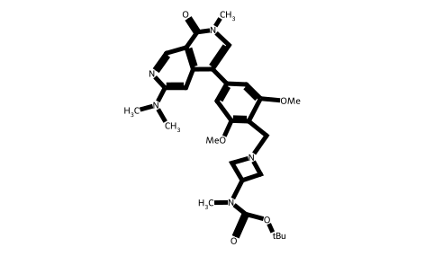 COc1cc(-c2cn(C)c(=O)c3cnc(N(C)C)cc23)cc(OC)c1CN1CC(N(C)C(=O)OC(C)(C)C)C1